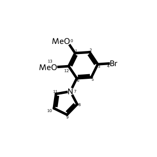 COc1cc(Br)cc(-n2cccc2)c1OC